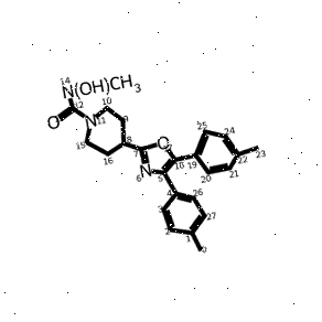 Cc1ccc(-c2nc(C3CCN(C(=O)N(C)O)CC3)oc2-c2ccc(C)cc2)cc1